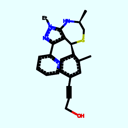 CCn1nc(-c2ccccn2)c2c1N[C@@H](C)CS[C@H]2c1ccc(C#CCO)cc1C